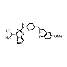 COc1ccc(F)c(CNC[C@H]2CC[C@@H](Nc3nc(N(C)C)c4ccccc4n3)CC2)c1